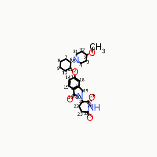 COC1CCN([C@H]2CCCC[C@H]2Oc2ccc3c(c2)CN(C2CCC(=O)NC2=O)C3=O)CC1